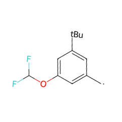 [CH2]c1cc(OC(F)F)cc(C(C)(C)C)c1